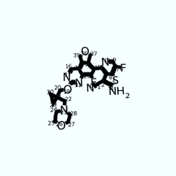 N#Cc1c(N)sc2c(F)cnc(-c3c4c(c5cnc(OCC6(CN7CCOCC7)CC6)nc5c3F)COC4)c12